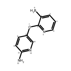 Bc1cccnc1Oc1ccc(N)nc1